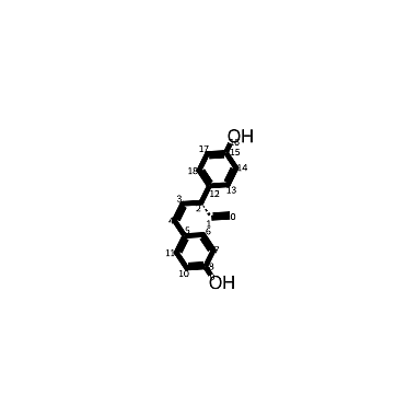 C=C[C@H](/C=C\c1ccc(O)cc1)c1ccc(O)cc1